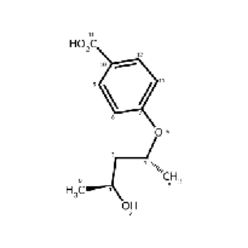 C[C@H](O)C[C@@H](C)Oc1ccc(C(=O)O)cc1